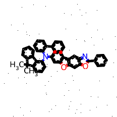 CC1(C)c2ccccc2-c2c(N(c3ccc4c(c3)oc3cc5oc(-c6ccccc6)nc5cc34)c3ccccc3-c3ccccc3)cccc21